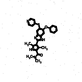 Cc1[nH]c(C(=O)N(C)C)c(C)c1-c1nc2cc(Sc3ccncc3)c(Oc3ccccc3)cc2[nH]1